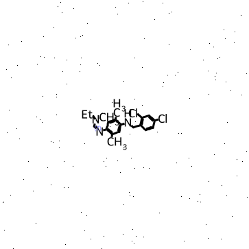 CCN(C)/C=N\c1cc(C)c(NCc2ccc(Cl)cc2Cl)cc1C